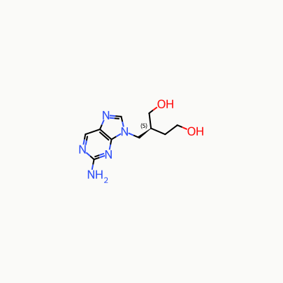 Nc1ncc2ncn(C[C@@H](CO)CCO)c2n1